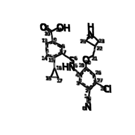 N#Cc1cc(NSc2cc(C(=O)O)ccc2C2CC2)c(OCC2CNC2)cc1Cl